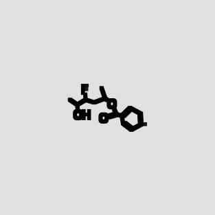 CC(CC(F)C(C)O)OC(=O)c1cc[c]cc1